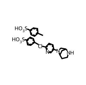 Cc1ccc(S(=O)(=O)O)cc1.Cc1ccc(S(=O)(=O)O)cc1.Clc1ccc(N2CC3CC2CCN3)cn1